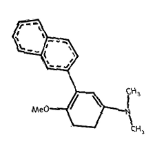 COC1=C(c2ccc3ccccc3c2)C=C(N(C)C)C[CH]1